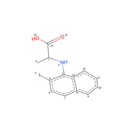 CC(Nc1c(I)ccc2ccccc12)C(=O)O